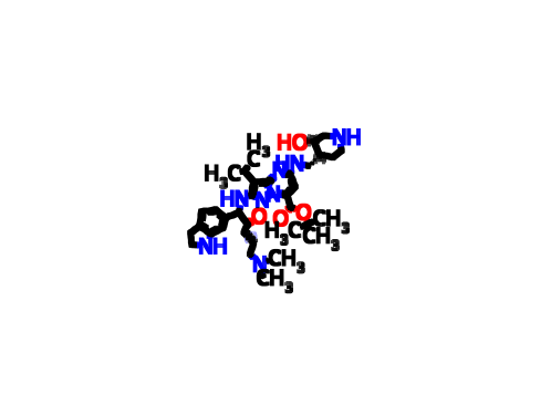 CC(C)c1c(NC(C(=O)/C=C/CN(C)C)c2ccc3c(c2)NCC3)nn2c(C(=O)OC(C)(C)C)cc(NC[C@H]3CCNC[C@@H]3O)nc12